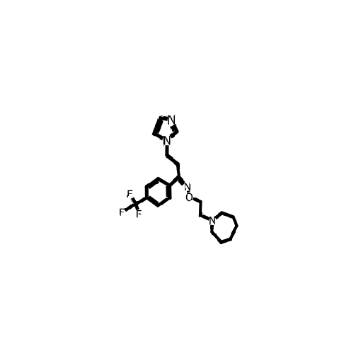 FC(F)(F)c1ccc(C(CCn2ccnc2)=NOCCN2CCCCCC2)cc1